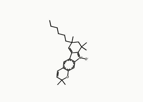 CCCCCCC1(C)C=C2C(=[N+]([O-])c3cc4c(cc32)C=CC(C)(C)O4)C(C)(C)C1